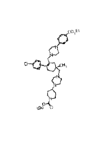 CCOC(=O)c1ccc(N2CCN(CC3=C(c4ccc(Cl)cc4)CC[C@@](C)(CN4CCN(C5CCN(C(=O)OC(C)(C)C)CC5)CC4)C3)CC2)cc1